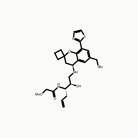 C=CC[C@H](NC(=O)COC)[C@H](O)CN[C@H]1CC2(CCC2)Oc2c(-c3nccs3)cc(CC(C)(C)C)cc21